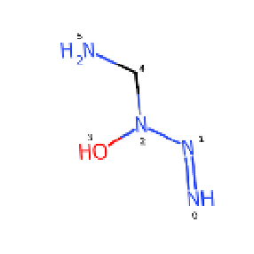 N=NN(O)CN